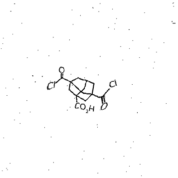 O=C(O)C12CC3CC(C(=O)Cl)(C1)CC(C(=O)Cl)(C3)C2